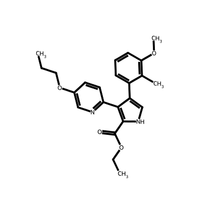 CCCOc1ccc(-c2c(-c3cccc(OC)c3C)c[nH]c2C(=O)OCC)nc1